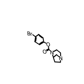 O=C(Oc1ccc(Br)cc1)N1CCN2CCC1C2